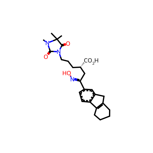 CN1C(=O)N(CCC[C@@H](CC(=NO)c2ccc3c(c2)CC2=C3CCCC2)C(=O)O)C(=O)C1(C)C